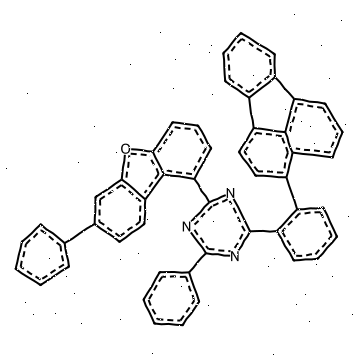 c1ccc(-c2ccc3c(c2)oc2cccc(-c4nc(-c5ccccc5)nc(-c5ccccc5-c5ccc6c7c(cccc57)-c5ccccc5-6)n4)c23)cc1